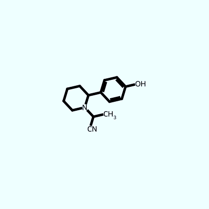 CC(C#N)N1CCCCC1c1ccc(O)cc1